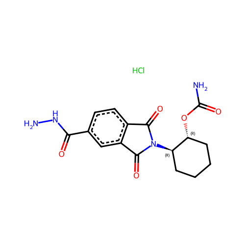 Cl.NNC(=O)c1ccc2c(c1)C(=O)N([C@@H]1CCCC[C@H]1OC(N)=O)C2=O